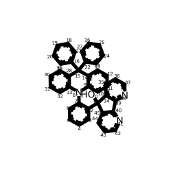 OC1(c2ccccc2N2c3ccccc3C(c3ccccc3)(c3ccccc3)c3ccccc32)c2cccnc2-c2ncccc21